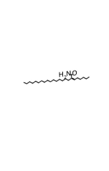 CCCCCC=C(CCCCCCCCCCCCCCCC)C(N)=O